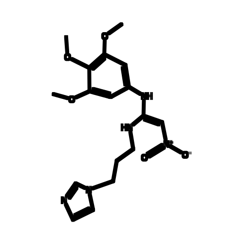 COc1cc(N/C(=C/[N+](=O)[O-])NCCCn2ccnc2)cc(OC)c1OC